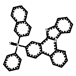 S=P(c1ccccc1)(c1ccc2ccccc2c1)c1ccc2c3ccccc3n3c4ccccc4nc3c2c1